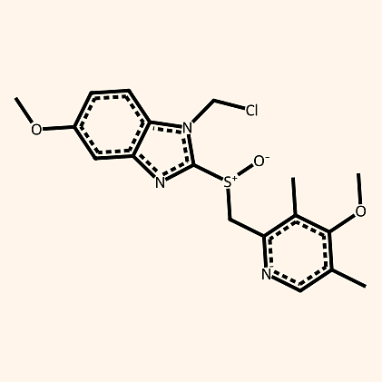 COc1ccc2c(c1)nc([S+]([O-])Cc1ncc(C)c(OC)c1C)n2CCl